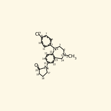 CN1CCN(c2ccc(Cl)cc2)c2ccc(N3CCCC3=O)cc2C1